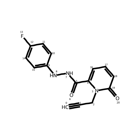 C#CCn1c(C(=O)NNc2ccc(F)cc2)cccc1=O